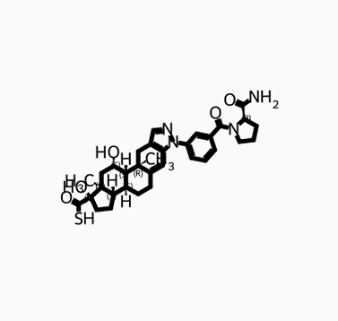 C[C@]12Cc3cnn(-c4cccc(C(=O)N5CCC[C@@H]5C(N)=O)c4)c3C=C1CC[C@@H]1[C@@H]2[C@@H](O)C[C@@]2(C)[C@H]1CC[C@]2(O)C(=O)S